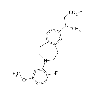 CCOC(=O)CC(C)c1ccc2c(c1)CCN(c1cc(OC(F)(F)F)ccc1F)CC2